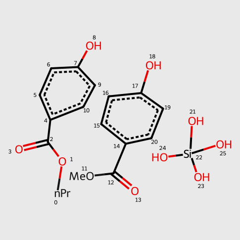 CCCOC(=O)c1ccc(O)cc1.COC(=O)c1ccc(O)cc1.O[Si](O)(O)O